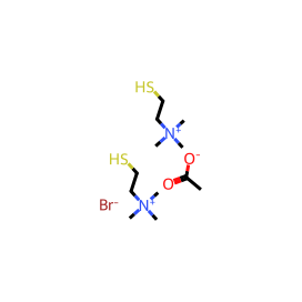 CC(=O)[O-].C[N+](C)(C)CCS.C[N+](C)(C)CCS.[Br-]